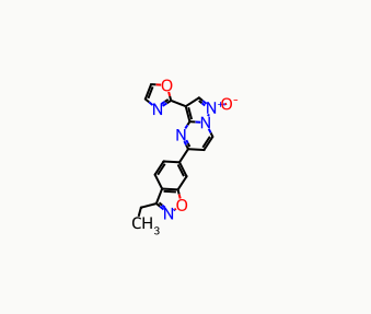 CCc1noc2cc(-c3ccn4c(n3)c(-c3ncco3)c[n+]4[O-])ccc12